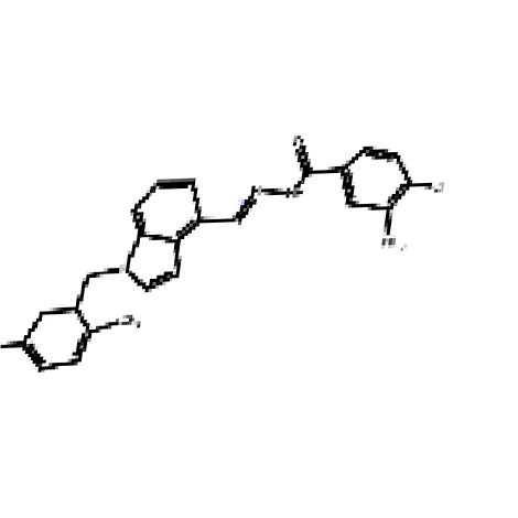 Nc1cc(C(=O)N/N=C/c2cccc3c2ccn3CC2CC(F)=CC=C2C(F)(F)F)ccc1O